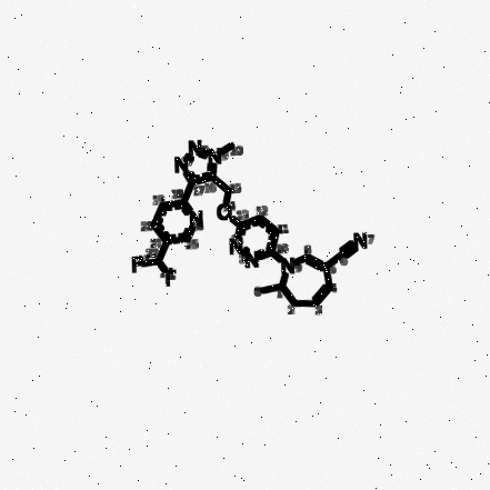 CC1CC=CC(C#N)=CN1c1ccc(OCc2c(-c3ccc(C(F)F)cn3)nnn2C)nn1